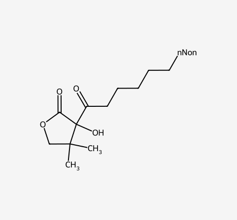 CCCCCCCCCCCCCCC(=O)C1(O)C(=O)OCC1(C)C